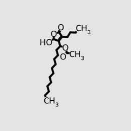 CCCCCCCCCCCCC(OC(C)=O)C1=C(CCCC)C(=O)OC1O